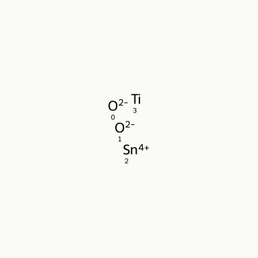 [O-2].[O-2].[Sn+4].[Ti]